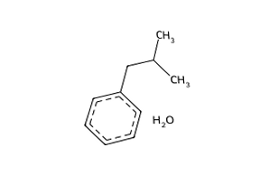 CC(C)Cc1ccccc1.O